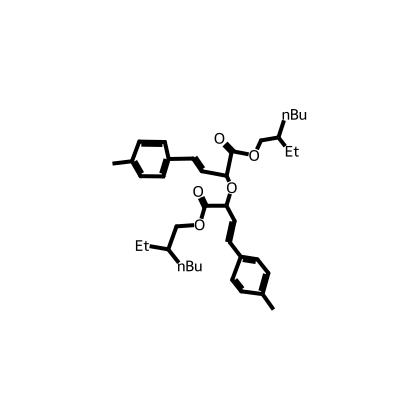 CCCCC(CC)COC(=O)C(/C=C/c1ccc(C)cc1)OC(/C=C/c1ccc(C)cc1)C(=O)OCC(CC)CCCC